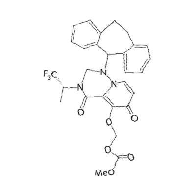 COC(=O)OCOc1c2n(ccc1=O)N(C1c3ccccc3CCc3ccccc31)CN([C@H](C)C(F)(F)F)C2=O